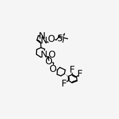 C[Si](C)(C)CCOCn1nccc1C1CCCN(C(=O)OCO[C@H]2CC[C@@H](c3c(F)ccc(F)c3F)CC2)C1